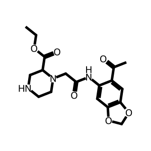 CCOC(=O)C1CNCCN1CC(=O)Nc1cc2c(cc1C(C)=O)OCO2